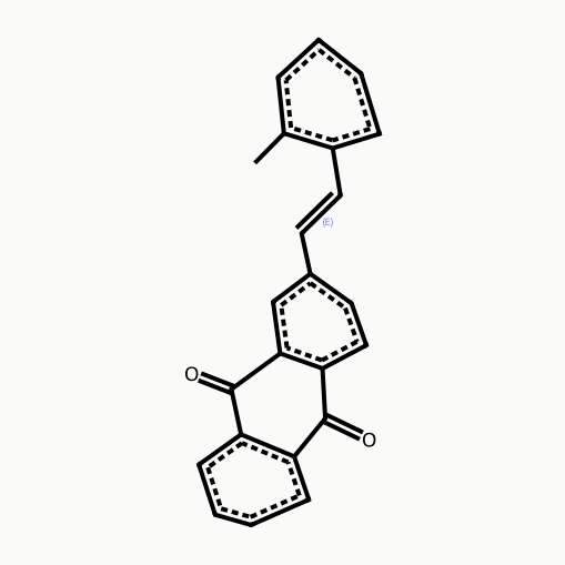 Cc1ccccc1/C=C/c1ccc2c(c1)C(=O)c1ccccc1C2=O